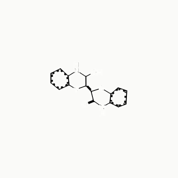 O=C1Nc2ccccc2S/C1=C1/Sc2ccccc2NC1O